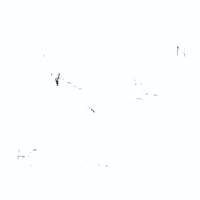 CN1CCCC[C@H]1c1c(CO)cccc1-c1ccncc1